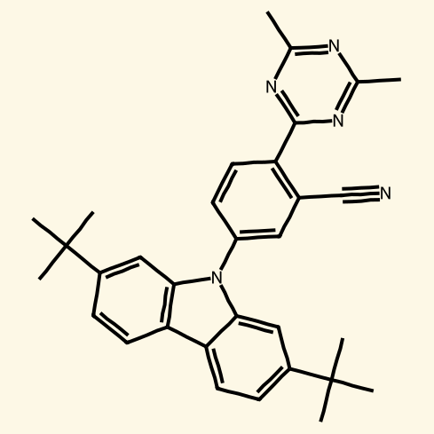 Cc1nc(C)nc(-c2ccc(-n3c4cc(C(C)(C)C)ccc4c4ccc(C(C)(C)C)cc43)cc2C#N)n1